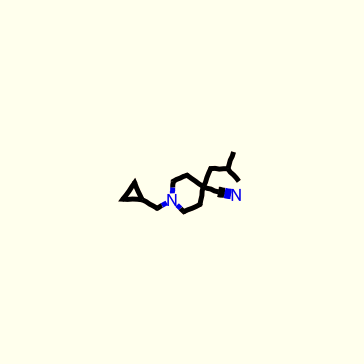 CC(C)CC1(C#N)CCN(CC2CC2)CC1